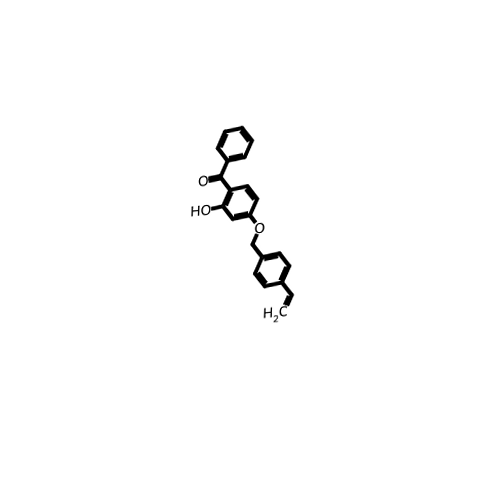 C=Cc1ccc(COc2ccc(C(=O)c3ccccc3)c(O)c2)cc1